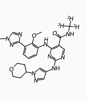 [2H]C([2H])([2H])NC(=O)c1cnc(Nc2cnn(C3CCOCC3)c2)nc1Nc1cccc(-c2ncn(C)n2)c1OC